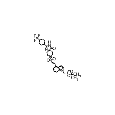 CC1(C)OC[C@H](Cn2ccc3c(/C=C/S(=O)(=O)N4CCC5(CC4)N=C(C4CCC(C(F)(F)F)CC4)NC5=O)cccc32)O1